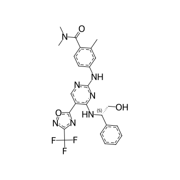 Cc1cc(Nc2ncc(-c3nc(C(F)(F)F)no3)c(N[C@H](CO)c3ccccc3)n2)ccc1C(=O)N(C)C